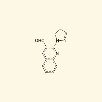 O=Cc1cc2ccccc2nc1N1CCC=N1